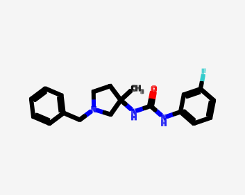 CC1(NC(=O)Nc2cccc(F)c2)CCN(Cc2ccccc2)C1